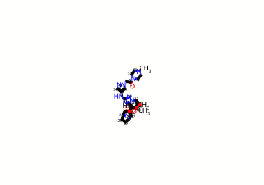 CN1CCN(C(=O)Cn2cc(Nc3nc4c(C5=CC6CCC(C5)N6C(=O)OC(C)(C)C)cccn4n3)cn2)CC1